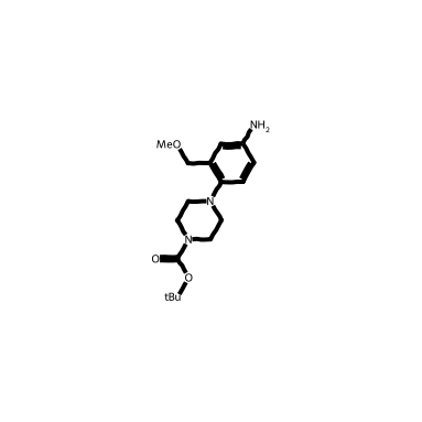 COCc1cc(N)ccc1N1CCN(C(=O)OC(C)(C)C)CC1